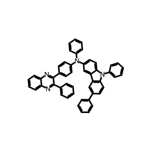 c1ccc(-c2ccc3c(c2)c2cc(N(c4ccccc4)c4ccc(-c5nc6ccccc6nc5-c5ccccc5)cc4)ccc2n3-c2ccccc2)cc1